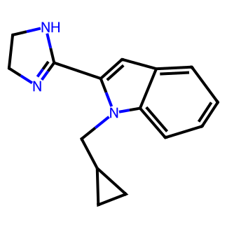 c1ccc2c(c1)cc(C1=NCCN1)n2CC1CC1